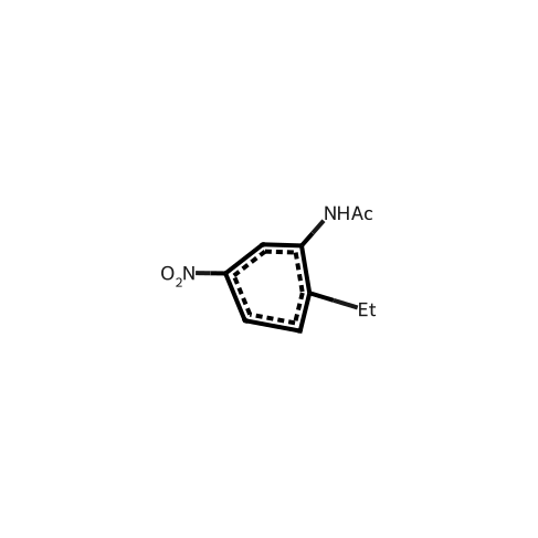 CCc1ccc([N+](=O)[O-])cc1NC(C)=O